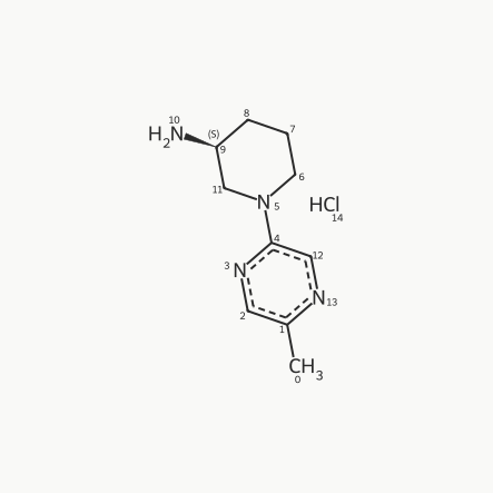 Cc1cnc(N2CCC[C@H](N)C2)cn1.Cl